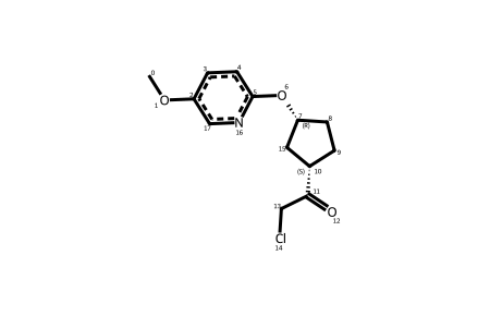 COc1ccc(O[C@@H]2CC[C@H](C(=O)CCl)C2)nc1